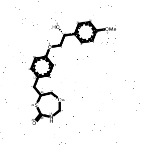 COc1ccc([C@@H](O)COc2ccc(CC3COCNC(=O)S3)cc2)cc1